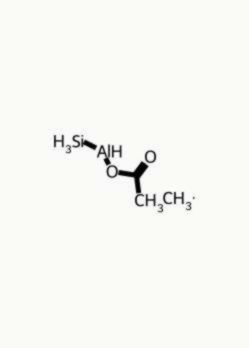 CC(=O)[O][AlH][SiH3].[CH3]